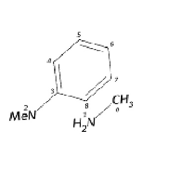 CN.CNc1ccccc1